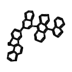 c1ccc2c(-c3c4ccccc4c(-c4cc(-c5ccc6oc7c8ccccc8ccc7c6c5)cc5ccccc45)c4ccccc34)cccc2c1